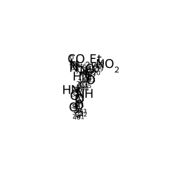 CCOC(=O)Cn1cc2c(n1)CCN(C(=O)[C@H](Cc1ccc([N+](=O)[O-])cc1)NC(=O)c1ccc(C(=N)NC(=O)OCOC(=O)c3ccccc3)cc1)C2